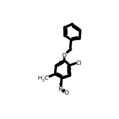 Cc1cc(OCc2ccccc2)c(Cl)cc1N=O